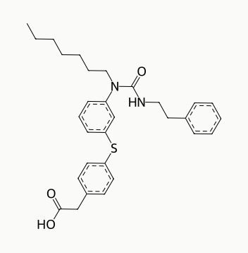 CCCCCCCN(C(=O)NCCc1ccccc1)c1cccc(Sc2ccc(CC(=O)O)cc2)c1